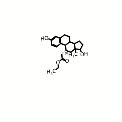 CCOC(=O)C[C@H]1CC2(C)C(O)CCC2C2CCc3cc(O)ccc3C21